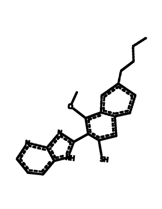 CCCCc1ccc2cc(S)c(-c3nc4ncccc4[nH]3)c(OC)c2c1